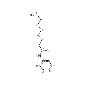 CCCCCCCCCCCCCCCC(=O)Nc1cc[c]cn1